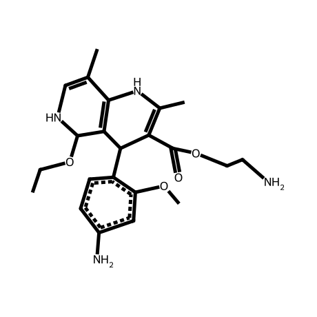 CCOC1NC=C(C)C2=C1C(c1ccc(N)cc1OC)C(C(=O)OCCN)=C(C)N2